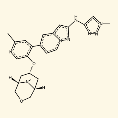 Cc1cc(-c2ccn3nc(Nc4cn(C)nn4)cc3c2)c(O[C@H]2C[C@H]3COC[C@@H](C2)N3C)cn1